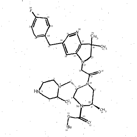 CC1CNCCN1C[C@H]1CN(C(=O)OC(C)(C)C)[C@H](C)CN1C(=O)CN1CC(C)(C)c2ncc(Cc3ccc(F)cc3)cc21